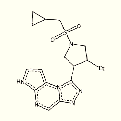 CCC1CN(S(=O)(=O)CC2CC2)CC1c1nnc2cnc3[nH]ccc3n12